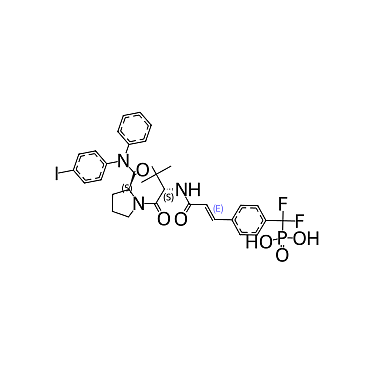 CC(C)(C)[C@H](NC(=O)/C=C/c1ccc(C(F)(F)P(=O)(O)O)cc1)C(=O)N1CCC[C@H]1C(=O)N(c1ccccc1)c1ccc(I)cc1